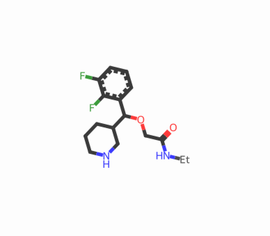 CCNC(=O)COC(c1cccc(F)c1F)C1CCCNC1